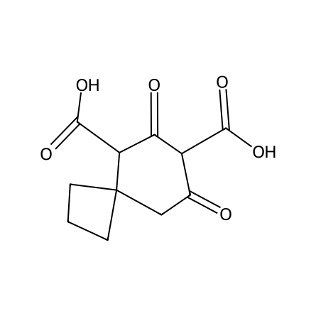 O=C(O)C1C(=O)CC2(CCC2)C(C(=O)O)C1=O